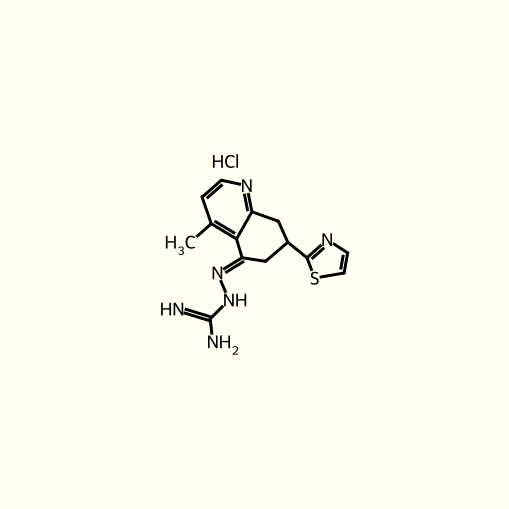 Cc1ccnc2c1C(=NNC(=N)N)CC(c1nccs1)C2.Cl